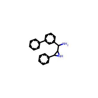 NC(c1cccc(-c2ccccc2)c1)C1NC1c1ccccc1